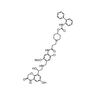 COc1cc(NC(=O)CCN2CCC(OC(=O)Nc3ccccc3-c3ccccc3)CC2)c(Cl)cc1CNC[C@H](O)c1cc(O)cc2c1OCC(=O)N2